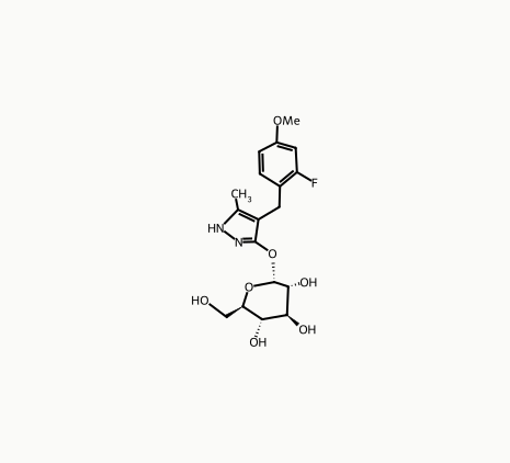 COc1ccc(Cc2c(O[C@H]3O[C@H](CO)[C@@H](O)[C@H](O)[C@H]3O)n[nH]c2C)c(F)c1